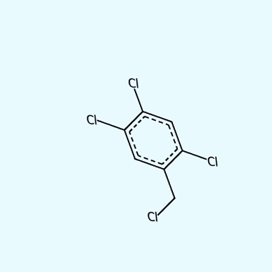 ClCc1cc(Cl)c(Cl)cc1Cl